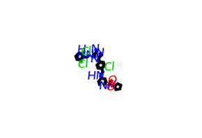 Nc1ncc(-c2ccc(CNC3CCN[C@@H](C(=O)OC4CCCC4)C3)c(Cl)c2)nc1NCc1c(Cl)cccc1Cl